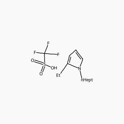 CCCCCCCn1cccc1CC.O=S(=O)(O)C(F)(F)F